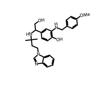 COc1ccc(CNc2cc(C(CO)NC(C)(C)CCn3cnc4ccccc43)ccc2O)cc1